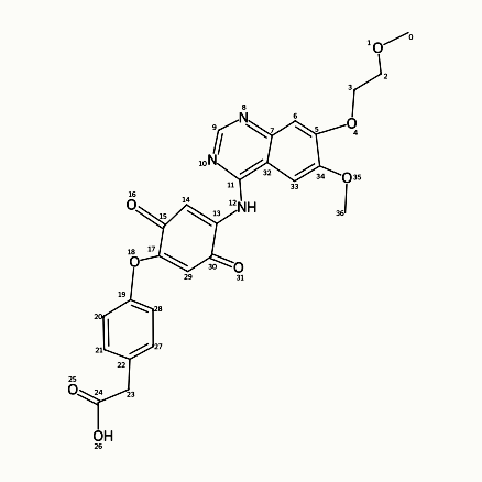 COCCOc1cc2ncnc(NC3=CC(=O)C(Oc4ccc(CC(=O)O)cc4)=CC3=O)c2cc1OC